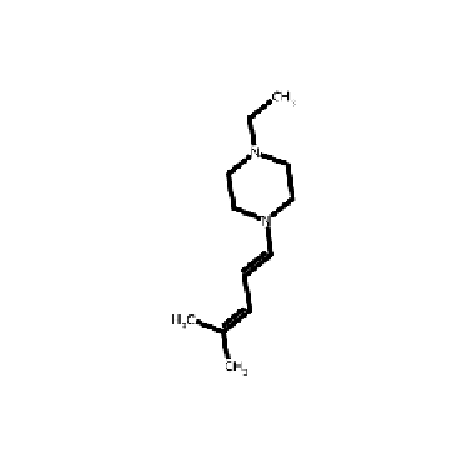 CCN1CCN(C=CC=C(C)C)CC1